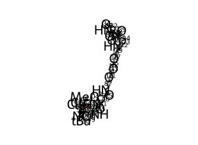 COc1cc(C(=O)NCCCOCCOCCOCCCNc2cccc3c2C(=O)N(C2CCC(=O)NC2=O)C3=O)ccc1NC(=O)C1N[C@@H](CC(C)(C)C)C(C#N)(c2ccc(Cl)cc2F)C1c1cccc(Cl)c1F